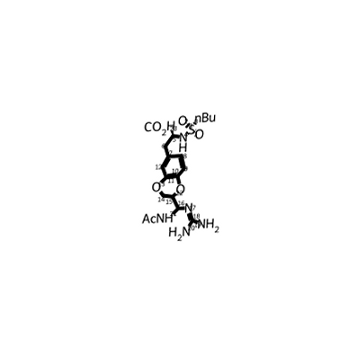 CCCCS(=O)(=O)N[C@@H](Cc1ccc2c(c1)OCC(C(N=C(N)N)NC(C)=O)O2)C(=O)O